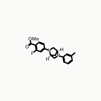 COC(=O)c1ccc(N2C[C@@H]3C[C@H]2CN3c2cccc(C)c2)cc1F